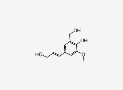 COc1cc(/C=C/CO)cc(CO)c1O